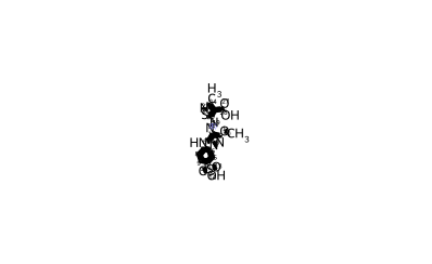 COc1nn2c([nH]c3ccc(S(=O)(=O)O)cc32)c1/N=N/c1snc(C)c1C(=O)O